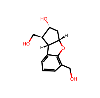 OCc1cccc2c1O[C@H]1C[C@@H](O)[C@H](CO)[C@@H]21